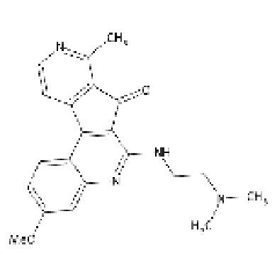 COc1ccc2c3c(c(NCCN(C)C)nc2c1)C(=O)c1c-3ccnc1C